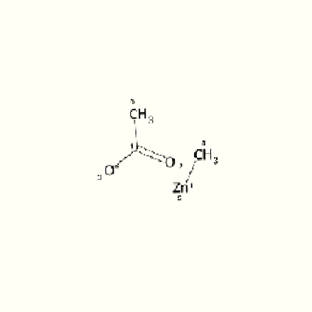 CC(=O)[O-].[CH3][Zn+]